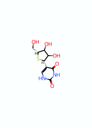 O=c1[nH]cc([C@@H]2S[C@H](CO)C(O)C2O)c(=O)[nH]1